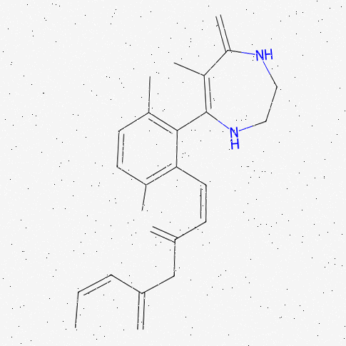 C=C(/C=C\C)CC(=C)/C=C\c1c(C)ccc(C)c1C1=C(C)C(=C)NCCN1